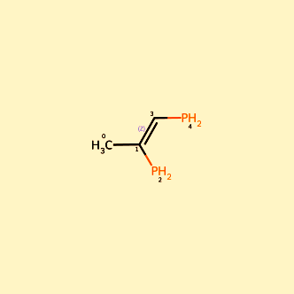 C/C(P)=C/P